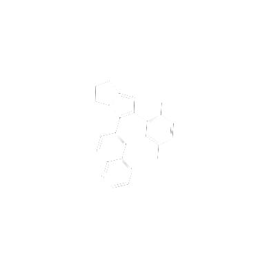 Fc1ccc(Cl)cc1-c1nc2n(c1-c1ccc3nccnc3c1)CCC2